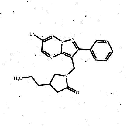 CCCC1CC(=O)N(Cc2c(-c3ccccc3)nn3cc(Br)cnc23)C1